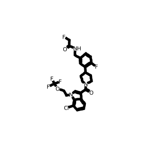 O=C(CF)NCc1ccc(F)c(C2CCN(C(=O)c3cn(CCOC(F)(F)F)c4c(Cl)cccc34)CC2)c1